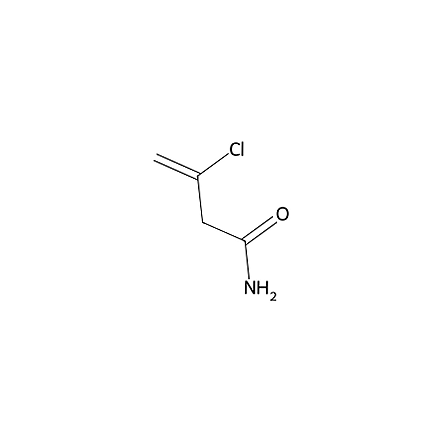 C=C(Cl)CC(N)=O